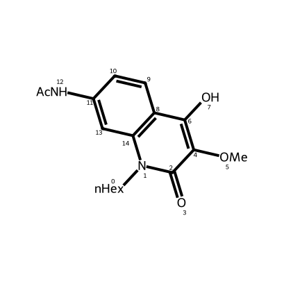 CCCCCCn1c(=O)c(OC)c(O)c2ccc(NC(C)=O)cc21